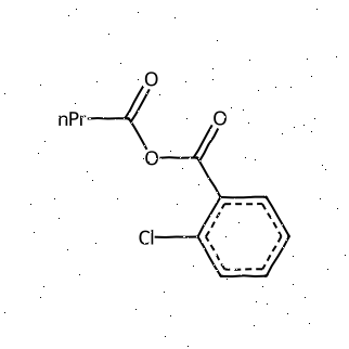 CCCC(=O)OC(=O)c1ccccc1Cl